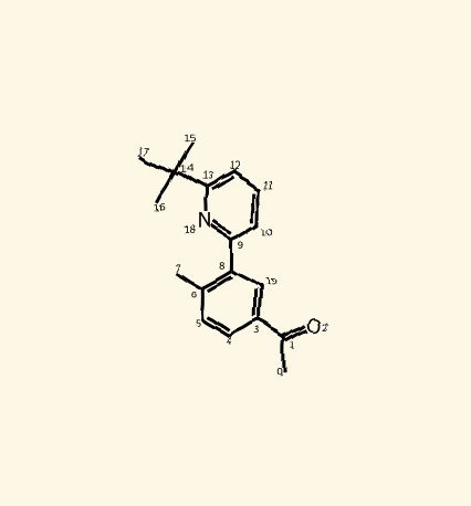 CC(=O)c1ccc(C)c(-c2cccc(C(C)(C)C)n2)c1